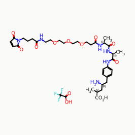 C[C@H](NC(=O)CCOCCOCCOCCNC(=O)CCCN1C(=O)C=CC1=O)C(=O)N[C@@H](C)C(=O)Nc1ccc(C[C@H](N)C[C@H](C)C(=O)O)cc1.O=C(O)C(F)(F)F